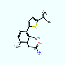 C=C(CCCC)c1ccc(-c2ccc(OC(C)=O)c(CC(N)=O)c2OC(C)=O)s1